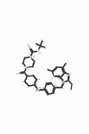 CCc1nc2c(C)cc(C)nc2n1Cc1ccc(NC2CCC(C(=O)N3CCN(C(=O)OC(C)(C)C)CC3)CC2)cc1